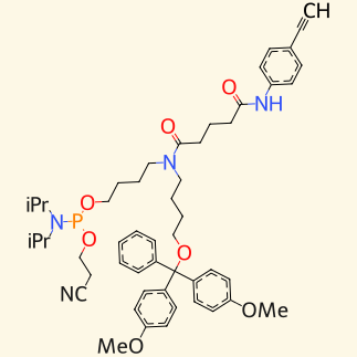 C#Cc1ccc(NC(=O)CCCC(=O)N(CCCCOP(OCCC#N)N(C(C)C)C(C)C)CCCCOC(c2ccccc2)(c2ccc(OC)cc2)c2ccc(OC)cc2)cc1